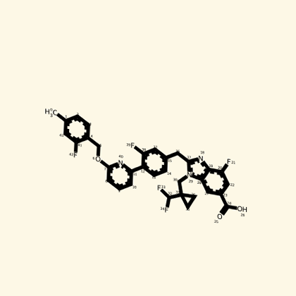 Cc1ccc(COc2cccc(-c3ccc(Cc4nc5c(F)cc(C(=O)O)cc5n4CC4(C(F)F)CC4)cc3F)n2)c(F)c1